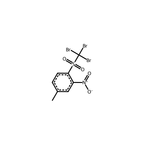 Cc1ccc(S(=O)(=O)C(Br)(Br)Br)c([N+](=O)[O-])c1